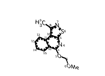 COCOc1nc2snc(C)c2c2ccccc12